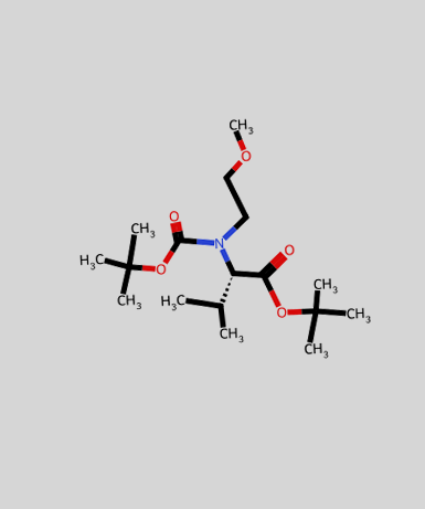 COCCN(C(=O)OC(C)(C)C)[C@H](C(=O)OC(C)(C)C)C(C)C